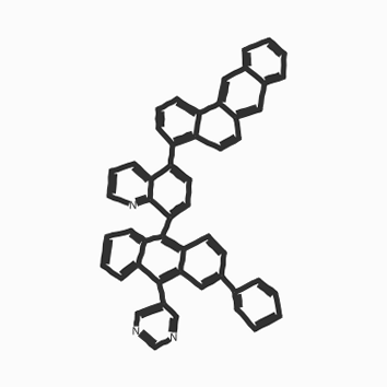 c1ccc(-c2ccc3c(-c4ccc(-c5cccc6c5ccc5cc7ccccc7cc56)c5cccnc45)c4ccccc4c(-c4cncnc4)c3c2)cc1